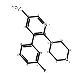 O=C(O)c1cnc(N2CCOCC2)c(-c2cccc(F)c2)c1